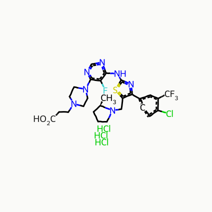 C[C@@H]1CCCN1Cc1sc(Nc2ncnc(N3CCN(CCC(=O)O)CC3)c2F)nc1-c1ccc(Cl)c(C(F)(F)F)c1.Cl.Cl.Cl